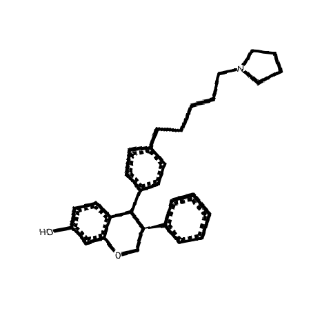 Oc1ccc2c(c1)OC[C@H](c1ccccc1)C2c1ccc(CCCCCN2CCCC2)cc1